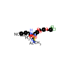 COC(=O)C(Cc1ccc(-c2ccc(C#N)cc2)cc1)NC(=O)[C@@H]1Cc2cc3c(cc2CN1S(=O)(=O)c1sc(N(C)C(C)=O)nc1C)O[C@@H](c1ccc(OCc2ccc(Cl)c(Cl)c2)cc1)CO3